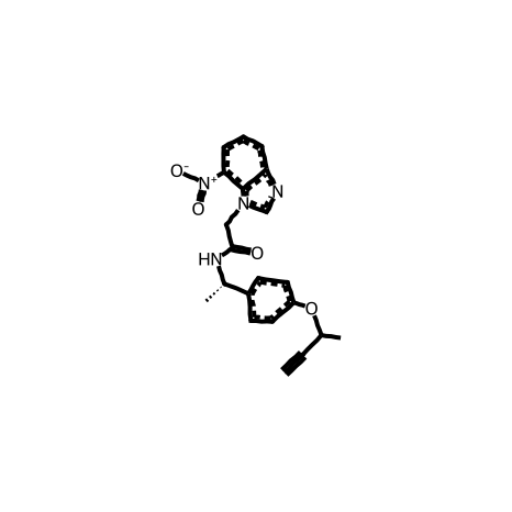 C#CC(C)Oc1ccc([C@H](C)NC(=O)Cn2cnc3cccc([N+](=O)[O-])c32)cc1